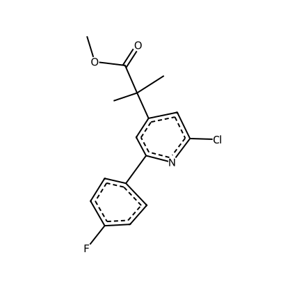 COC(=O)C(C)(C)c1cc(Cl)nc(-c2ccc(F)cc2)c1